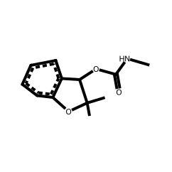 CNC(=O)OC1c2ccccc2OC1(C)C